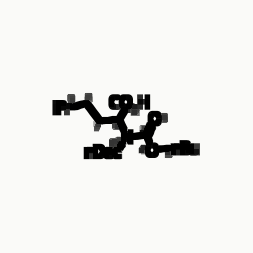 CCCCCCCCCCN(C(=O)OCCCC)C(CCC(C)C)C(=O)O